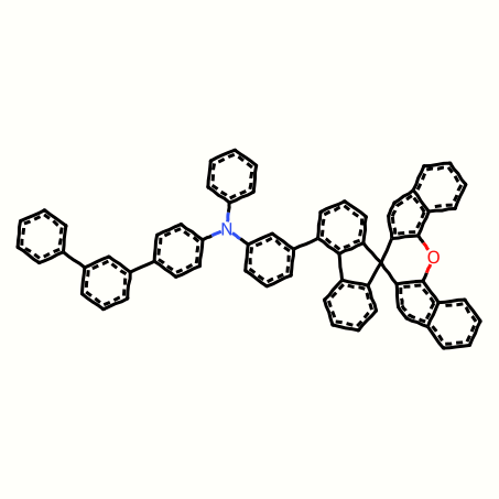 c1ccc(-c2cccc(-c3ccc(N(c4ccccc4)c4cccc(-c5cccc6c5-c5ccccc5C65c6ccc7ccccc7c6Oc6c5ccc5ccccc65)c4)cc3)c2)cc1